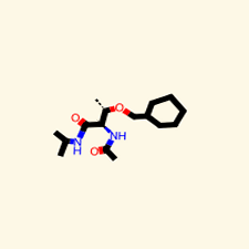 CC(=O)N[C@@H](C(=O)NC(C)C)[C@H](C)OCC1CCCCC1